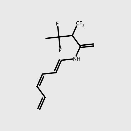 C=C/C=C\C=C\NC(=C)C(C(C)(F)F)C(F)(F)F